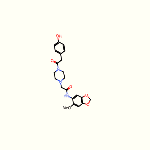 COc1cc2c(cc1NC(=O)CN1CCN(C(=O)Cc3ccc(O)cc3)CC1)OCO2